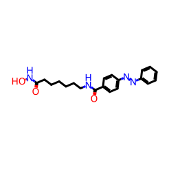 O=C(CCCCCCNC(=O)c1ccc(N=Nc2ccccc2)cc1)NO